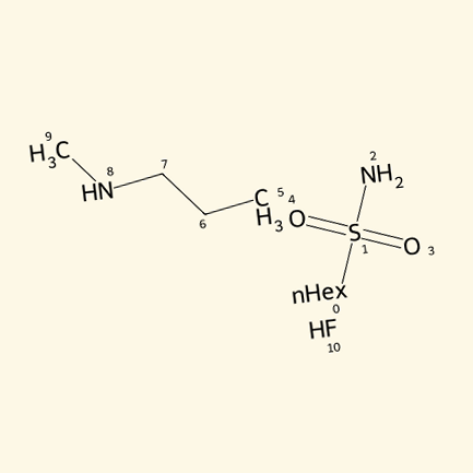 CCCCCCS(N)(=O)=O.CCCNC.F